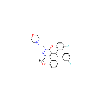 Cc1nn(CCN2CCOCC2)c(=O)c(C(Cc2cccc(F)c2)c2cccc(F)c2)c1-c1ccccc1O